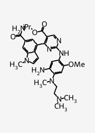 COc1cc(N(C)CCN(C)C)c(N)cc1Nc1ncc(C(=O)OC(C)C)c(-c2cc(C(N)=O)cc3c2ccn3C)n1